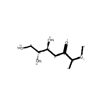 COC(C)C(=O)C[C@H](O)[C@H](O)CO